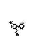 N#Cc1cc(-c2cccc(Cl)c2)c(CCBr)cn1